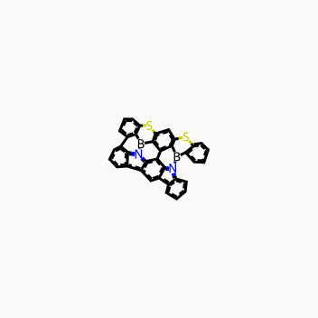 c1ccc2c(c1)Sc1cc3c4c5c1B2n1c2ccccc2c2cc6c7cccc8c7n(c6c-5c21)B4c1c(cccc1-8)S3